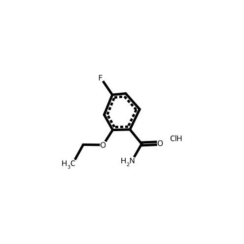 CCOc1cc(F)ccc1C(N)=O.Cl